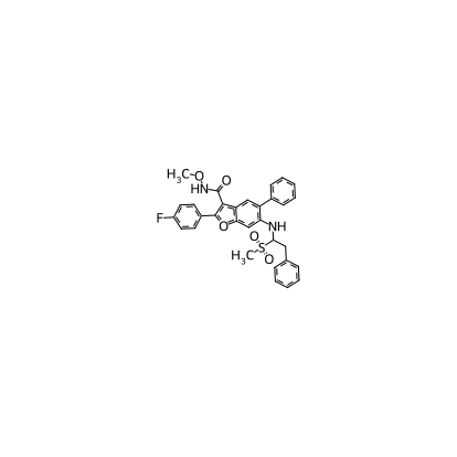 CONC(=O)c1c(-c2ccc(F)cc2)oc2cc(NC(Cc3ccccc3)S(C)(=O)=O)c(-c3ccccc3)cc12